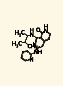 CC(C)C(C)Nc1nc(Nc2ccccn2)cc2cc[nH]c(=O)c12